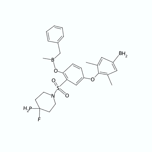 Bc1cc(C)c(Oc2ccc(OB(C)Cc3ccccc3)c(S(=O)(=O)N3CCC(F)(P)CC3)c2)c(C)c1